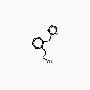 COCc1ccccc1Cc1cccs1